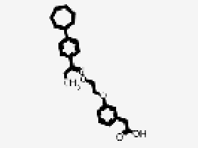 CCC(=NOCCOc1cccc(CC(=O)O)c1)c1ccc(C2CCCCCC2)cc1